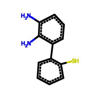 Nc1cccc(-c2ccccc2S)c1N